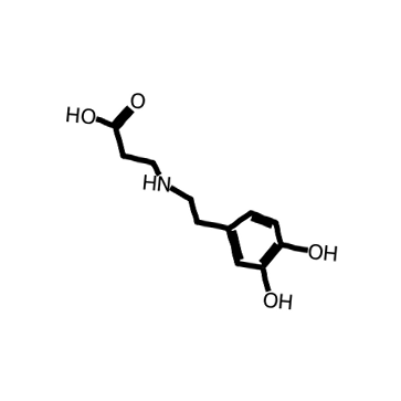 O=C(O)CCNCCc1ccc(O)c(O)c1